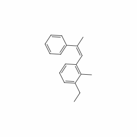 CCc1cccc(C=C(C)c2ccccc2)c1C